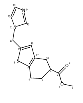 COC(=O)C1CCc2sc(Cn3ccnc3)cc2C1